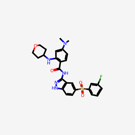 CN(C)c1ccc(C(=O)Nc2n[nH]c3ccc(S(=O)(=O)c4cccc(F)c4)cc23)c(NC2CCOCC2)c1